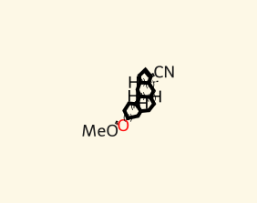 COCO[C@H]1CC[C@@H]2C(CC[C@@H]3C[C@]4(C)C(C#N)=CC[C@H]4C[C@H]32)C1